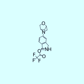 O=C(O[C@@H]1NCc2cc(N3CC4CC3CO4)ccc21)C(F)(F)F